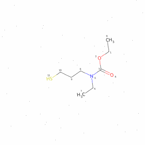 CCOC(=O)N(CC)CCCS